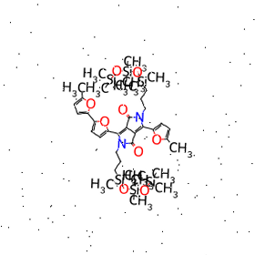 Cc1ccc(C2=C3C(=O)N(CCC[Si](C)(C)O[Si](C)(C)O[Si](C)(C)C)C(c4ccc(-c5ccc(C)o5)o4)=C3C(=O)N2CCC[Si](C)(C)O[Si](C)(C)O[Si](C)(C)C)o1